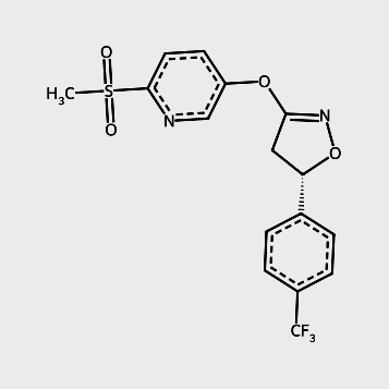 CS(=O)(=O)c1ccc(OC2=NO[C@H](c3ccc(C(F)(F)F)cc3)C2)cn1